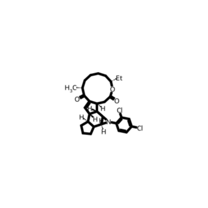 CC[C@H]1CCCC[C@@H](C)C(=O)C2=C[C@@H]3[C@@H]([C@@H]4[C@H](C5CCC[C@H]53)N4c3ccc(Cl)cc3Cl)[C@@H]2CC(=O)O1